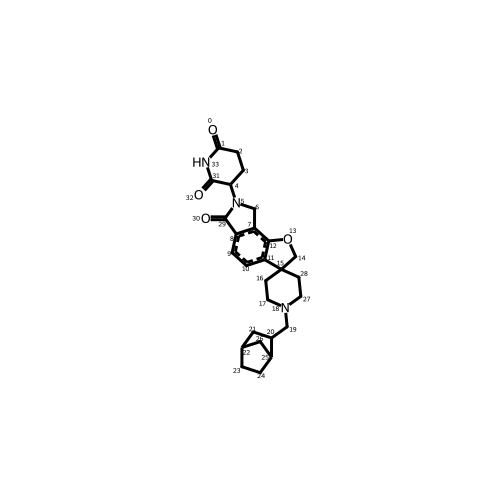 O=C1CCC(N2Cc3c(ccc4c3OCC43CCN(CC4CC5CCC4C5)CC3)C2=O)C(=O)N1